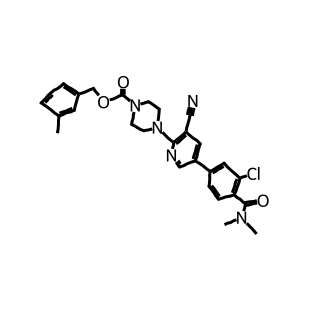 Cc1cccc(COC(=O)N2CCN(c3ncc(-c4ccc(C(=O)N(C)C)c(Cl)c4)cc3C#N)CC2)c1